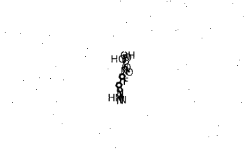 O=C1O[C@@H](COP(=O)(O)O)CN1c1ccc(-c2ccc3c(c2)CN(c2cnn[nH]2)C3)c(F)c1